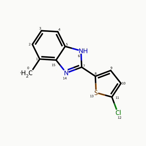 [CH2]c1cccc2[nH]c(-c3ccc(Cl)s3)nc12